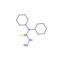 CCCCNC(=S)N(C1CCCCC1)C1CCCCC1